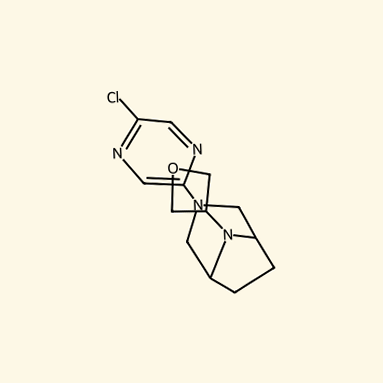 Clc1cnc(N2CC3CCC(C2)N3C2COC2)cn1